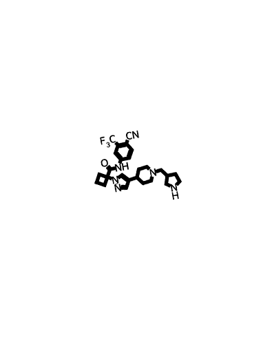 N#Cc1ccc(NC(=O)C2(n3cc(C4CCN(CC5CCNC5)CC4)cn3)CCC2)cc1C(F)(F)F